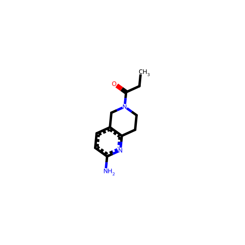 CCC(=O)N1CCc2nc(N)ccc2C1